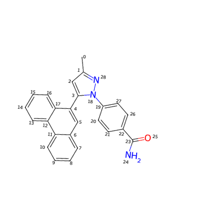 Cc1cc(-c2cc3ccccc3c3ccccc23)n(-c2ccc(C(N)=O)cc2)n1